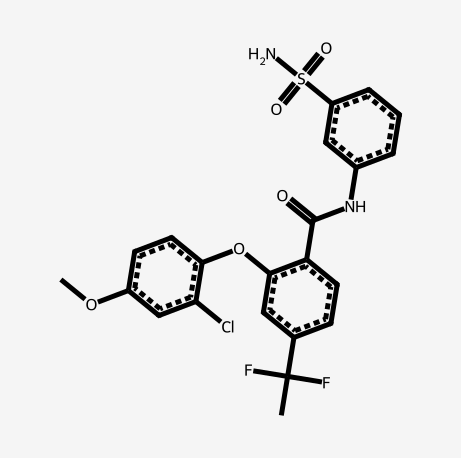 COc1ccc(Oc2cc(C(C)(F)F)ccc2C(=O)Nc2cccc(S(N)(=O)=O)c2)c(Cl)c1